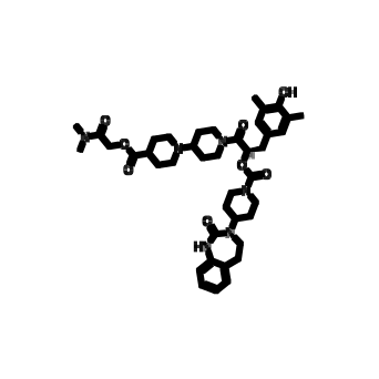 Cc1cc(C[C@@H](OC(=O)N2CCC(N3CCc4ccccc4NC3=O)CC2)C(=O)N2CCC(N3CCC(C(=O)OCC(=O)N(C)C)CC3)CC2)cc(C)c1O